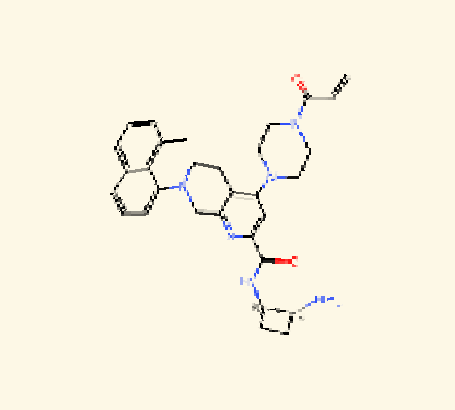 C=CC(=O)N1CCN(c2cc(C(=O)N[C@@H]3CC[C@H]3N)nc3c2CCN(c2cccc4cccc(C)c24)C3)CC1